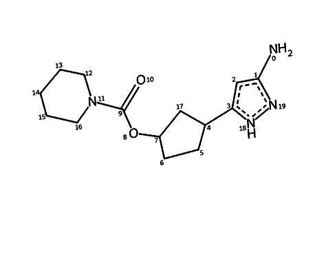 Nc1cc(C2CCC(OC(=O)N3CCCCC3)C2)[nH]n1